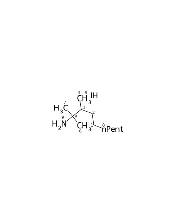 CCCCCCCC(C)C(C)(C)N.I